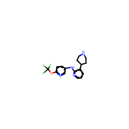 FC(F)(F)Oc1ccc(Nc2ncccc2C2CCNCC2)cn1